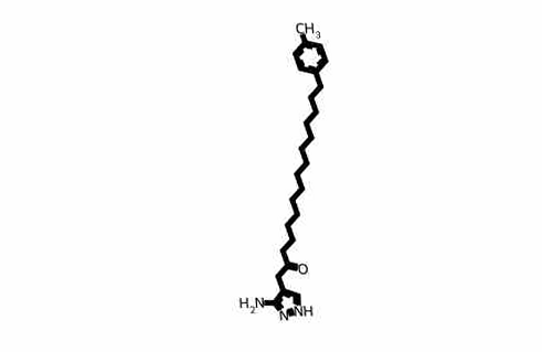 Cc1ccc(CCCCCCCCCCCCCCC(=O)Cc2c[nH]nc2N)cc1